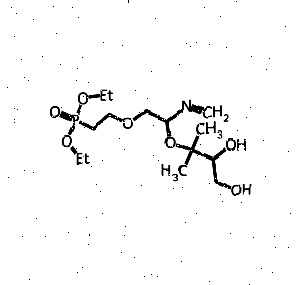 C=NC(COCCP(=O)(OCC)OCC)OC(C)(C)C(O)CO